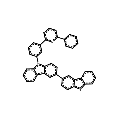 c1ccc(-c2ccnc(-c3cccc(-n4c5ccccc5c5cc(-c6ccc7sc8ccccc8c7c6)ccc54)c3)n2)cc1